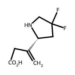 C=C(CC(=O)O)[C@H]1CC(F)(F)CN1